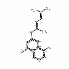 CC(C)=C/C=C(\C)Nc1nc(N)c2cccc(Cl)c2n1